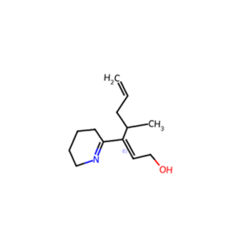 C=CCC(C)/C(=C\CO)C1=NCCCC1